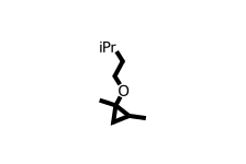 CC(C)CCOC1(C)CC1C